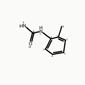 Cc1ccccc1NC([NH])=O